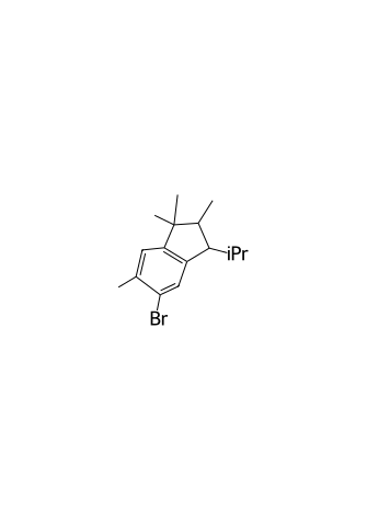 Cc1cc2c(cc1Br)C(C(C)C)C(C)C2(C)C